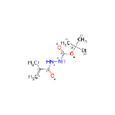 C=C(C)C(=O)NNC(=O)OC(C)(C)CC